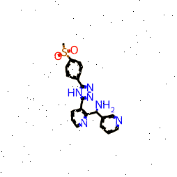 CS(=O)(=O)c1ccc(-c2nnc(-c3cccnc3C(N)c3cccnc3)[nH]2)cc1